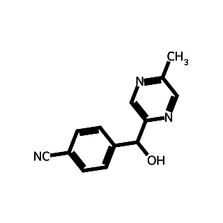 Cc1cnc(C(O)c2ccc(C#N)cc2)cn1